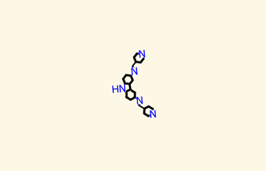 C(=N\c1ccc2[nH]c3ccc(/N=C/c4ccncc4)cc3c2c1)/c1ccncc1